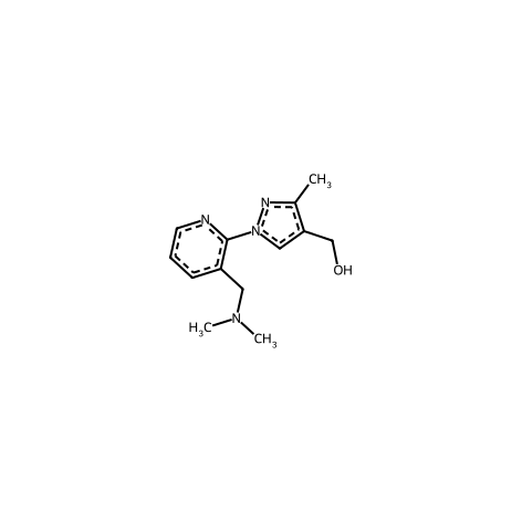 Cc1nn(-c2ncccc2CN(C)C)cc1CO